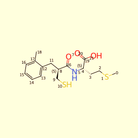 CSCC[C@H](NC(=O)[C@@H](CS)Cc1ccccc1C)C(=O)O